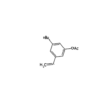 C=[C]c1cc(CCCC)cc(OC(C)=O)c1